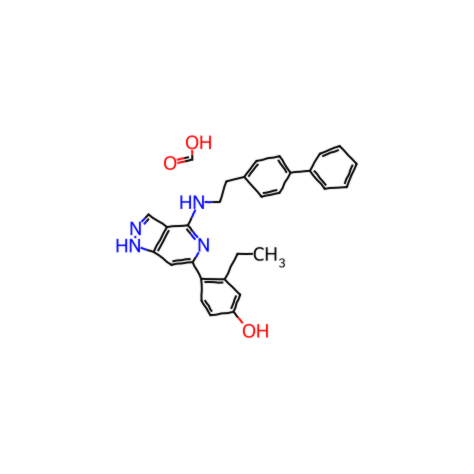 CCc1cc(O)ccc1-c1cc2[nH]ncc2c(NCCc2ccc(-c3ccccc3)cc2)n1.O=CO